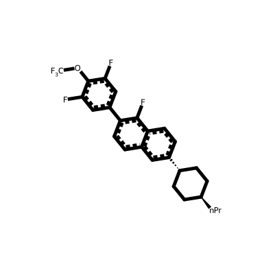 CCC[C@H]1CC[C@H](c2ccc3c(F)c(-c4cc(F)c(OC(F)(F)F)c(F)c4)ccc3c2)CC1